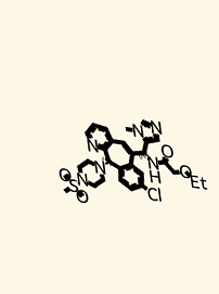 CCOCC(=O)N[C@H](C1=Cc2cccnc2[C@@H](N2CCN(S(C)(=O)=O)CC2)c2ccc(Cl)cc21)c1cncn1C